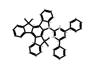 CC1(C)c2ccccc2-c2c3c(c4c(c21)c1ccccc1n4-c1nc(-c2ccccc2)cc(-c2ccccc2)n1)C(C)(C)c1ccccc1-3